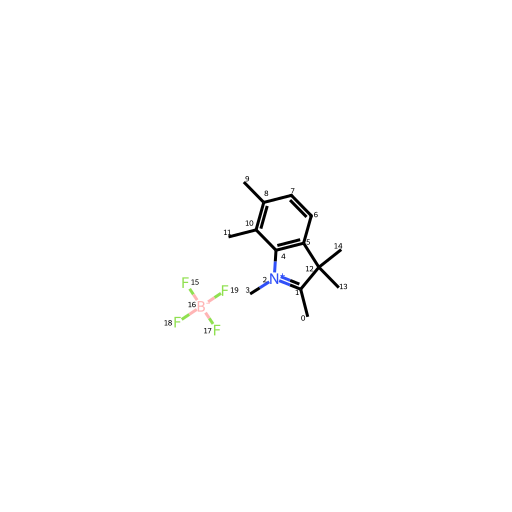 CC1=[N+](C)c2c(ccc(C)c2C)C1(C)C.F[B-](F)(F)F